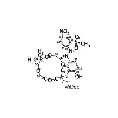 CCCCCCCCCCCCC1(Cc2cc(/N=N/c3ccc([N+](=O)[O-])cc3S(C)(=O)=O)ccc2O)COCCOCC(C)(C)COCCOC1